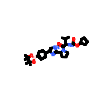 CC(C)C(NC(=O)OC1CCCC1)C(=O)N1CCCC1c1nc(-c2ccc(B3OC(C)(C)C(C)(C)O3)cc2)c[nH]1